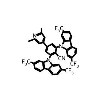 Cc1cc(-c2cc(-n3c4cc(C(F)(F)F)ccc4c4ccc(C(F)(F)F)cc43)c(C#N)c(-n3c4cc(C(F)(F)F)ccc4c4ccc(C(F)(F)F)cc43)c2)cc(C)n1